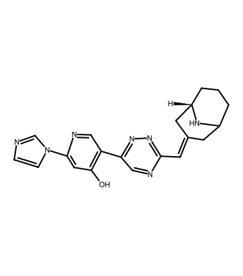 Oc1cc(-n2ccnc2)ncc1-c1cnc(/C=C2/CC3CCC[C@@H](C2)N3)nn1